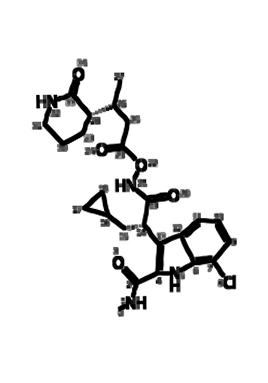 CNC(=O)c1[nH]c2c(Cl)cccc2c1[C@H](CC1CC1)C(=O)NOC(=O)CC(C)[C@@H]1CCCNC1=O